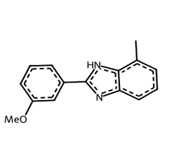 COc1cccc(-c2nc3cccc(C)c3[nH]2)c1